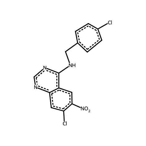 O=[N+]([O-])c1cc2c(NCc3ccc(Cl)cc3)ncnc2cc1Cl